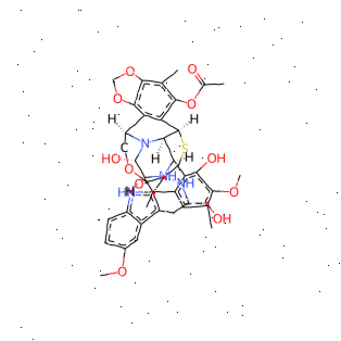 COc1ccc2[nH]c3c(c2c1)C[C@@H](CO)N[C@]31CS[C@@H]2c3c(OC(C)=O)c(C)c4c(c3[C@H](COC1=O)N1[C@@H]2[C@@H]2N[C@@H](C(C)c3cc(C)c(OC)c(O)c32)[C@@H]1O)OCO4